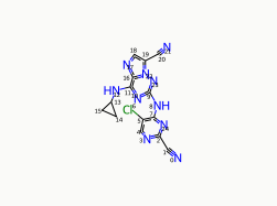 N#Cc1ncc(Cl)c(Nc2nc(NC3CC3)c3ncc(C#N)n3n2)n1